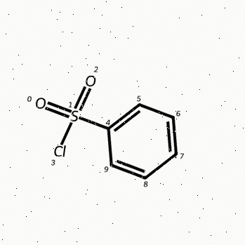 O=S(=O)(Cl)c1cc[c]cc1